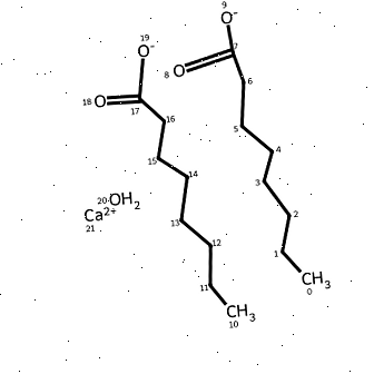 CCCCCCCC(=O)[O-].CCCCCCCC(=O)[O-].O.[Ca+2]